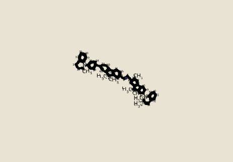 Cc1cc2c(cc1/C=C/c1ccc3c(c1)C(C)(C)C1=C3CCC(c3ccc(N4c5ccccc5CCC4C)cc3)=C1)C(C)(C)c1cc(N3c4ccccc4C=CC3(C)C)ccc1-2